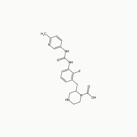 Cc1ccc(NC(=O)Nc2cccc(CC3CNCCN3C(=O)O)c2F)cn1